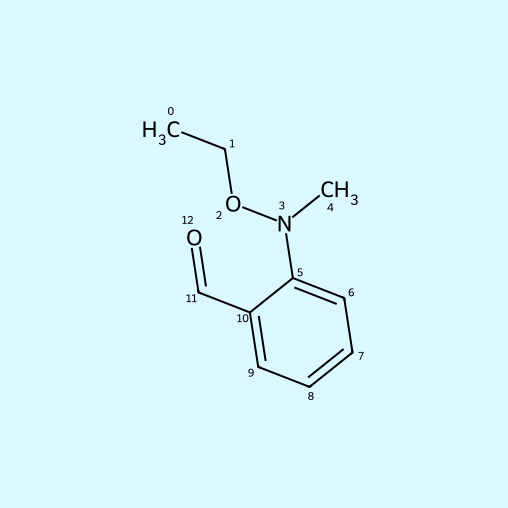 CCON(C)c1ccccc1C=O